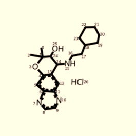 CC1(C)Oc2cc3nccnc3cc2C(NCCC2CCCCC2)C1O.Cl